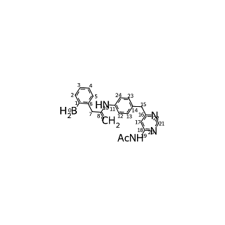 Bc1ccccc1CC(=C)Nc1ccc(Cc2cc(NC(C)=O)ncn2)cc1